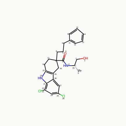 CC(C)[C@@H](CO)NC(=O)C1(CCCc2ccccc2)CCc2[nH]c3c(Cl)cc(Cl)cc3c2C1